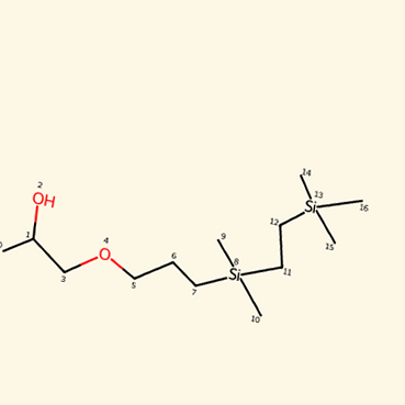 CC(O)COCCC[Si](C)(C)CC[Si](C)(C)C